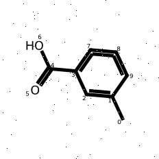 CC1=CC(C(=O)O)=C=C=C1